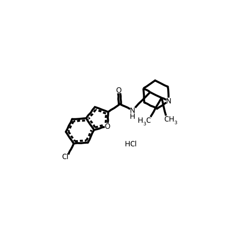 CC1(C)C(NC(=O)c2cc3ccc(Cl)cc3o2)C2CCN1CC2.Cl